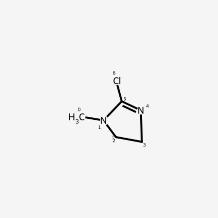 CN1[C]CN=C1Cl